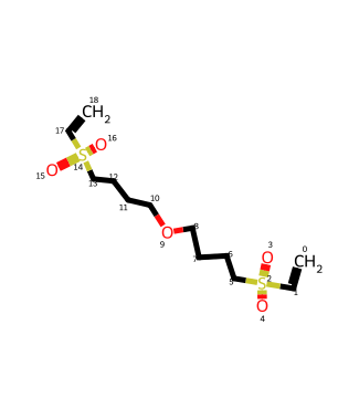 C=CS(=O)(=O)CCCCOCCCCS(=O)(=O)C=C